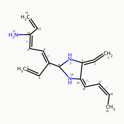 C=C=C1NC(/C(C=C)=C/C=C(/N)C=C)N/C1=C/C=C\C